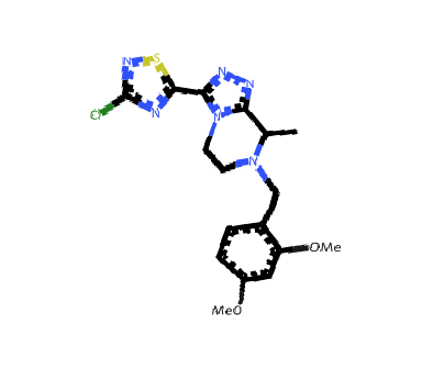 COc1ccc(CN2CCn3c(-c4nc(Cl)ns4)nnc3C2C)c(OC)c1